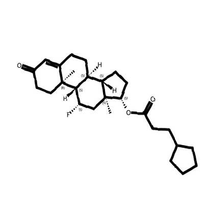 C[C@]12C[C@H](F)[C@H]3[C@@H](CCC4=CC(=O)CC[C@@]43C)[C@@H]1CC[C@@H]2OC(=O)CCC1CCCC1